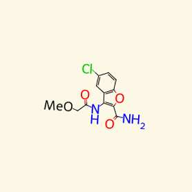 COCC(=O)Nc1c(C(N)=O)oc2ccc(Cl)cc12